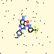 CCN1CCN(c2nc(Nc3cccc(C(F)(F)F)c3)c3c(=O)[nH]ccc3n2)CC1